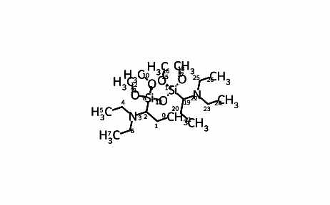 CCC(N(CC)CC)[Si](OC)(OC)O[Si](OC)(OC)C(CC)N(CC)CC